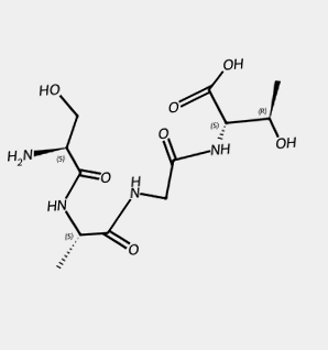 C[C@H](NC(=O)[C@@H](N)CO)C(=O)NCC(=O)N[C@H](C(=O)O)[C@@H](C)O